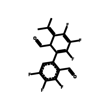 CC(C)=C1C(F)=C(F)C(F)=C(c2cc(F)c(F)c(F)c2C=O)C1C=O